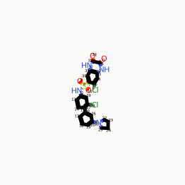 O=c1[nH]c2cc(Cl)c(S(=O)(=O)Nc3ccc(-c4cccc(N5CCCC5)c4)c(Cl)c3)cc2[nH]c1=O